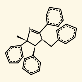 C[C@@]1(c2ccccc2)N=C(c2ccccc2)N(Cc2ccccc2)[C@H]1c1ccccc1